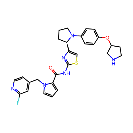 O=C(Nc1nc([C@H]2CCCN2c2ccc(OC3CCNC3)cc2)cs1)c1cccn1Cc1ccnc(F)c1